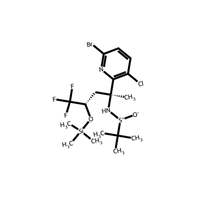 CC(C)(C)[S+]([O-])N[C@@](C)(C[C@H](O[Si](C)(C)C)C(F)(F)F)c1nc(Br)ccc1Cl